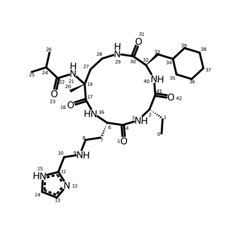 CC[C@@H]1NC(=O)[C@H](CCNCc2ncc[nH]2)NC(=O)[C@](C)(NC(=O)C(C)C)CCNC(=O)[C@@H](CC2CCCCC2)NC1=O